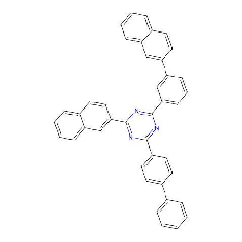 c1ccc(-c2ccc(-c3nc(-c4cccc(-c5ccc6ccccc6c5)c4)nc(-c4ccc5ccccc5c4)n3)cc2)cc1